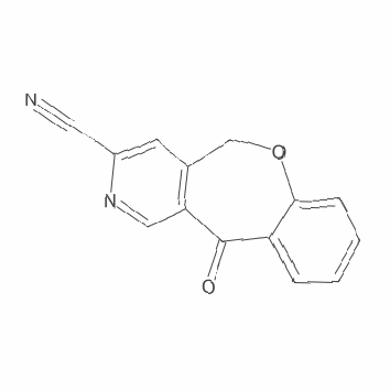 N#Cc1cc2c(cn1)C(=O)c1ccccc1OC2